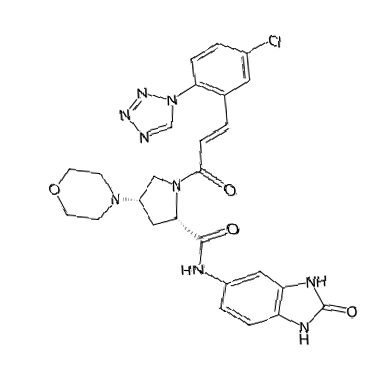 O=C(Nc1ccc2[nH]c(=O)[nH]c2c1)[C@@H]1C[C@H](N2CCOCC2)CN1C(=O)/C=C/c1cc(Cl)ccc1-n1cnnn1